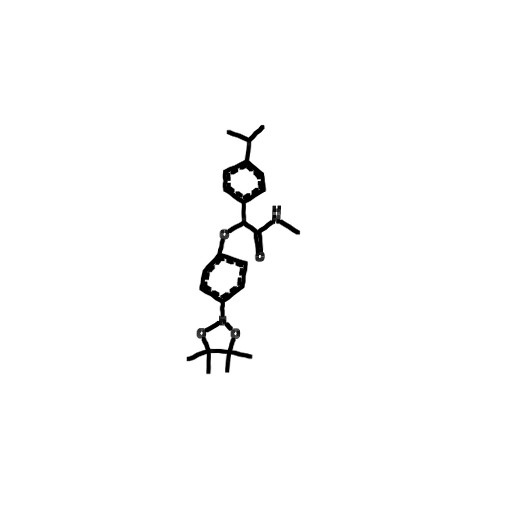 CNC(=O)C(Oc1ccc(B2OC(C)(C)C(C)(C)O2)cc1)c1ccc(C(C)C)cc1